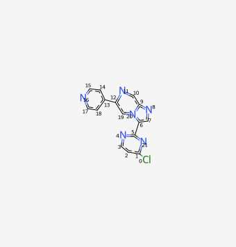 Clc1ccnc(-c2cnc3cnc(-c4ccncc4)cn23)n1